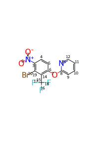 O=[N+]([O-])c1ccc(Oc2ccccn2)c(C(F)(F)F)c1Br